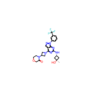 C[C@]1(O)C[C@H](Nc2nc(N3CC(N4CCOCC4=O)C3)c3cnn(-c4cccc(C(F)(F)F)c4)c3n2)C1